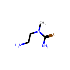 CN(CCN)C(N)=S